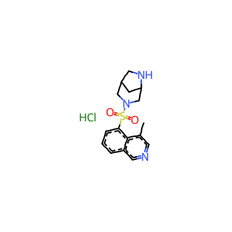 Cc1cncc2cccc(S(=O)(=O)N3CC4CNC(C4)C3)c12.Cl